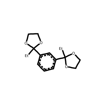 CCC1(c2cccc(C3(CC)OCCO3)c2)OCCO1